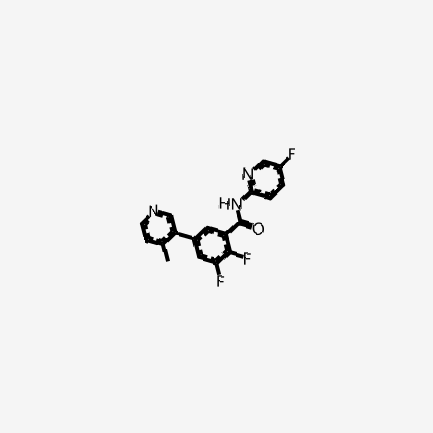 Cc1ccncc1-c1cc(F)c(F)c(C(=O)Nc2ccc(F)cn2)c1